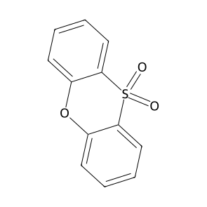 O=S1(=O)c2ccccc2Oc2ccccc21